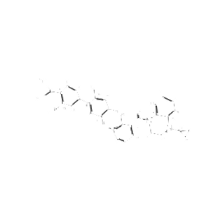 COC(=O)c1ccc(-c2cc(Cl)c(Oc3ncccc3C(=O)N3CCN(C4CC4)c4ccccc43)cc2Cl)cc1Cl